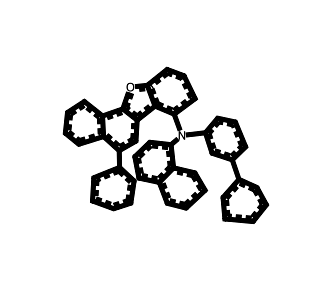 c1ccc(-c2cccc(N(c3cccc4ccccc34)c3cccc4oc5c6ccccc6c(-c6ccccc6)cc5c34)c2)cc1